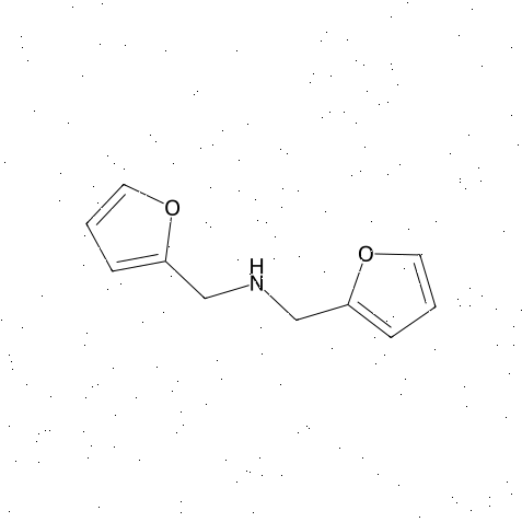 c1coc(CNCc2ccco2)c1